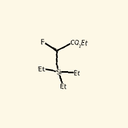 CCOC(=O)C(F)[Si](CC)(CC)CC